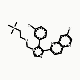 CS(C)(C)CCOCn1cnc(-c2ccc3ncc(Br)cc3n2)c1-c1cccc(Cl)c1